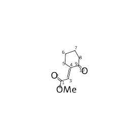 COC(=O)C=C1CCCCC1=O